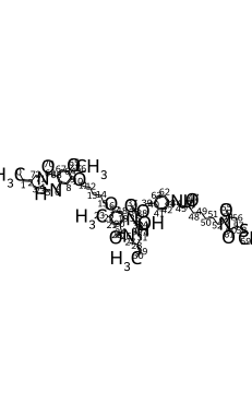 CC=C1C[C@H]2C=Nc3cc(OCCCCCOc4cc5c(cc4C)C(=O)N4CC(=CC)C[C@H]4[C@H](O)N5C(=O)OCc4ccc(NCC(=O)CCCCCN5C(=O)CC(SC)C5=O)cc4)c(OC)cc3C(=O)N2C1